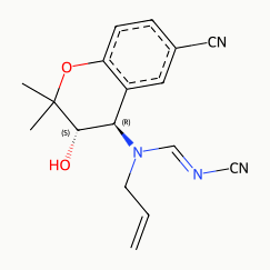 C=CCN(C=NC#N)[C@@H]1c2cc(C#N)ccc2OC(C)(C)[C@H]1O